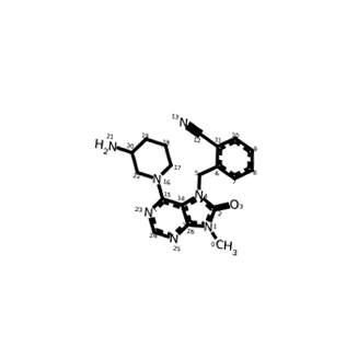 Cn1c(=O)n(Cc2ccccc2C#N)c2c(N3CCCC(N)C3)ncnc21